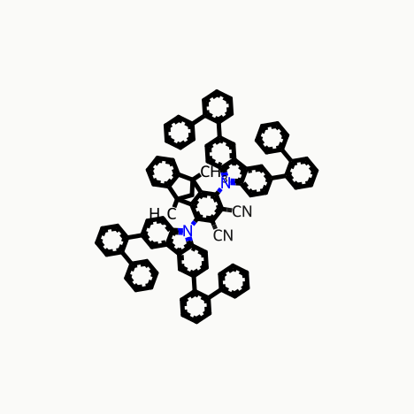 CC12CC(C)(c3ccccc31)c1c(-n3c4ccc(-c5ccccc5-c5ccccc5)cc4c4cc(-c5ccccc5-c5ccccc5)ccc43)c(C#N)c(C#N)c(-n3c4ccc(-c5ccccc5-c5ccccc5)cc4c4cc(-c5ccccc5-c5ccccc5)ccc43)c12